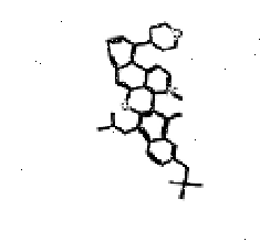 Cc1c2c(c(CC(C)C)c3ccc(CC(C)(C)C)cc13)Oc1cc3cccc(C4CCOCC4)c3c3cc[n+](C)c-2c13